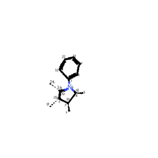 C[C@H]1[C@H](C)[C@H](C)N(c2ccccc2)[C@H]1C